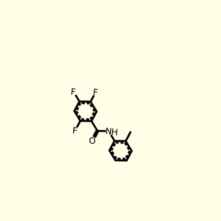 Cc1ccccc1NC(=O)c1cc(F)c(F)cc1F